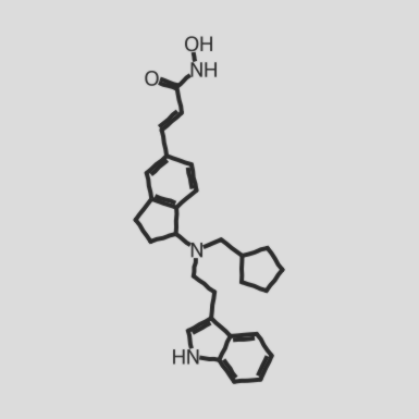 O=C(C=Cc1ccc2c(c1)CCC2N(CCc1c[nH]c2ccccc12)CC1CCCC1)NO